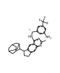 Cc1nc(N[C@H](C)c2cc(N)cc(C(F)(F)F)c2)c2cc3c(cc2n1)CCN3C1C2CC3CC(C2)CC1C3